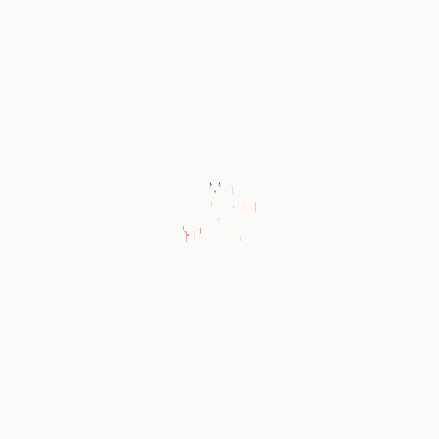 O=S(=O)(O)O.[Ca].[Mg]